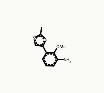 COc1c(N)cccc1-c1csc(C)n1